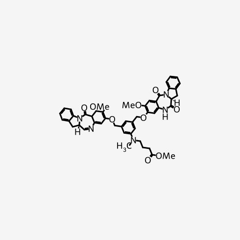 COC(=O)CCCN(C)c1cc(COC2=C(OC)CC3C(=O)N4c5ccccc5C[C@H]4C=NC3=C2)cc(COc2cc3c(cc2OC)C(=O)N2c4ccccc4C[C@H]2C(=O)N3)c1